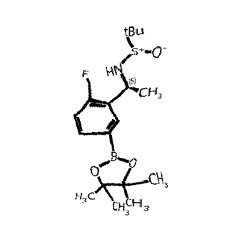 C[C@H](N[S+]([O-])C(C)(C)C)c1cc(B2OC(C)(C)C(C)(C)O2)ccc1F